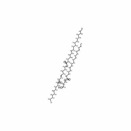 CCCCCCCCCCCCCCCCCC(=O)OCC(O)CO.CCCCCCCCCCCCCCCCCCOC(=O)CCCCCCCCCCCCCCCCC